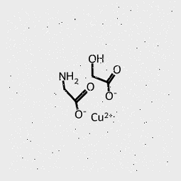 NCC(=O)[O-].O=C([O-])CO.[Cu+2]